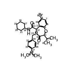 CC(C)C1Oc2ccc(Br)cc2C(C(=O)NC2CCCCC2)N(Cc2ccc(N(C)C)cc2)C1=O